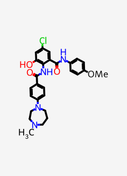 COc1ccc(NC(=O)c2cc(Cl)cc(O)c2NC(=O)c2ccc(N3CCCN(C)CC3)cc2)cc1